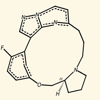 Fc1ccc2cc1-c1cnn3ccc(nc13)CCCN1CCC[C@H]1CO2